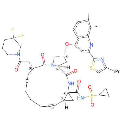 Cc1ccc2c(O[C@@H]3C[C@H]4C(=O)N[C@]5(C(=O)NS(=O)(=O)C6CC6)C[C@H]5/C=C\CCCCC[C@H](CC(=O)N5CCCC(F)(F)C5)C(=O)N4C3)cc(-c3nc(C(C)C)cs3)nc2c1C